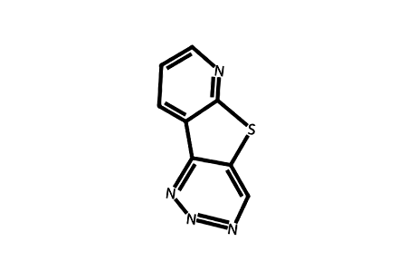 c1cnc2sc3cnnnc3c2c1